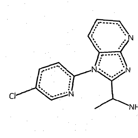 CC(N)c1nc2ncccc2n1-c1ccc(Cl)cn1